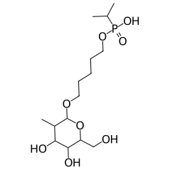 CC1C(OCCCCCOP(=O)(O)C(C)C)OC(CO)C(O)C1O